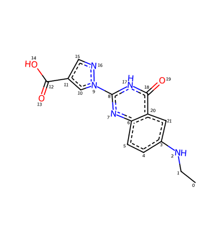 CCNc1ccc2nc(-n3cc(C(=O)O)cn3)[nH]c(=O)c2c1